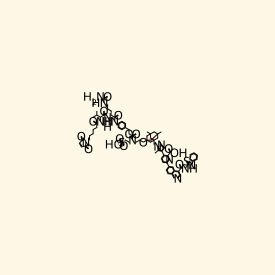 Cc1c(-c2ccc(-c3ccc4cncc(C(=O)Nc5nc6ccccc6s5)c4c3)nc2C(=O)O)cnn1CC12CC3(C)CC(C)(C1)CC(OCCN(CCS(=O)(=O)O)C(=O)OCc1ccc(NC(=O)[C@H](CCCNC(N)=O)NC(=O)C(NC(=O)CCCCCN4C(=O)C=CC4=O)C(C)C)cc1)(C3)C2